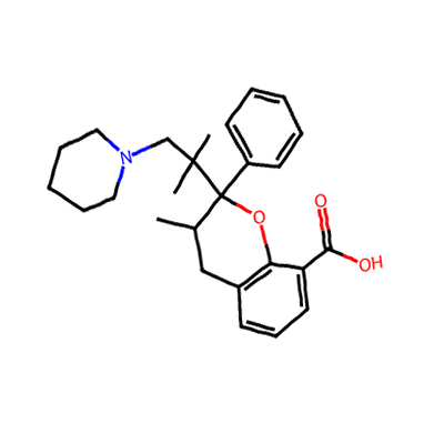 CC1Cc2cccc(C(=O)O)c2OC1(c1ccccc1)C(C)(C)CN1CCCCC1